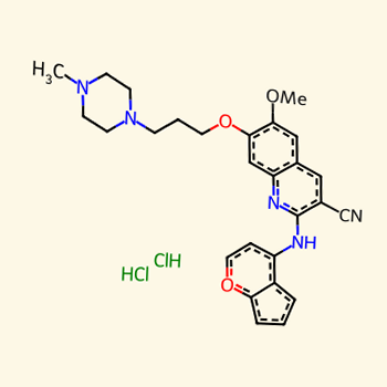 COc1cc2cc(C#N)c(Nc3ccoc4cccc3-4)nc2cc1OCCCN1CCN(C)CC1.Cl.Cl